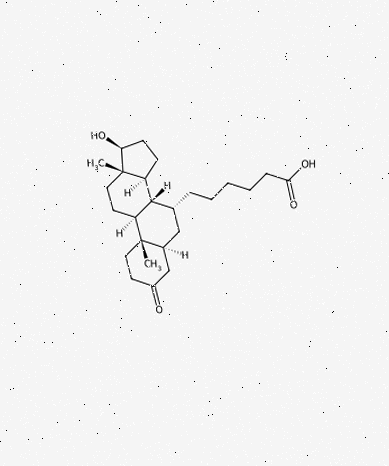 C[C@]12CCC(=O)C[C@@H]1C[C@@H](CCCCCC(=O)O)[C@@H]1[C@@H]2CC[C@]2(C)[C@@H](O)CC[C@@H]12